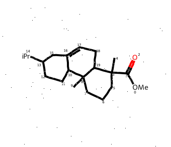 COC(=O)C1(C)CCCC2(C)C3CCC(C(C)C)CC3=CCC12